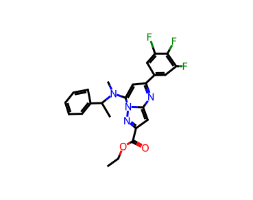 CCOC(=O)c1cc2nc(-c3cc(F)c(F)c(F)c3)cc(N(C)C(C)c3ccccc3)n2n1